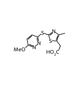 COc1ccc(Sc2nc(C)c(CC(=O)O)s2)nn1